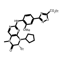 CCOC(=O)c1nc(-c2ccc(Nc3ncc4c(n3)N(C3CCCC3)[C@H](CC)C(=O)N4C)c(OC)c2)no1